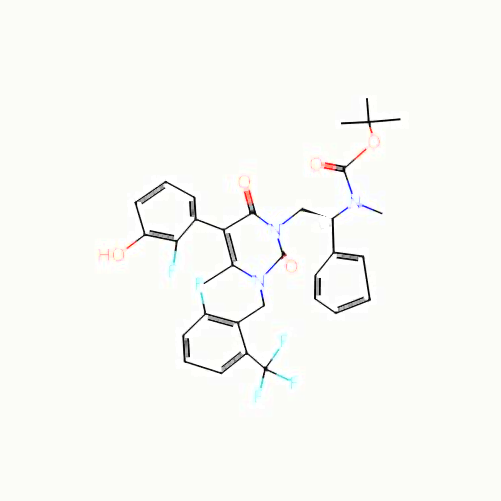 Cc1c(-c2cccc(O)c2F)c(=O)n(C[C@H](c2ccccc2)N(C)C(=O)OC(C)(C)C)c(=O)n1Cc1c(F)cccc1C(F)(F)F